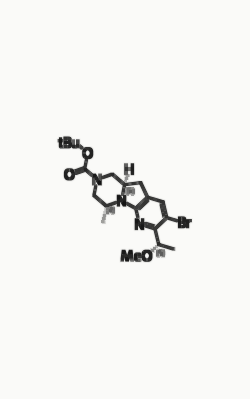 CO[C@@H](C)c1nc2c(cc1Br)C[C@@H]1CN(C(=O)OC(C)(C)C)C[C@@H](C)N21